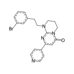 O=c1cc(-c2ccncc2)nc2n1CCCN2CCc1cccc(Br)c1